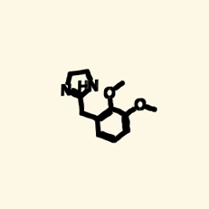 COc1cccc(CC2=NCCN2)c1OC